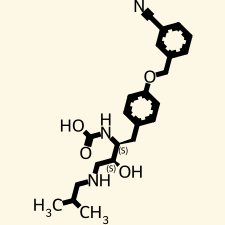 CC(C)CNC[C@H](O)[C@H](Cc1ccc(OCc2cccc(C#N)c2)cc1)NC(=O)O